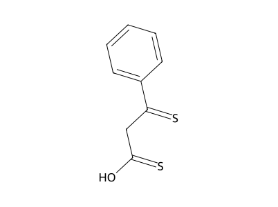 OC(=S)CC(=S)c1ccccc1